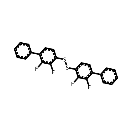 Fc1c(SSc2ccc(-c3ccccc3)c(F)c2F)ccc(-c2ccccc2)c1F